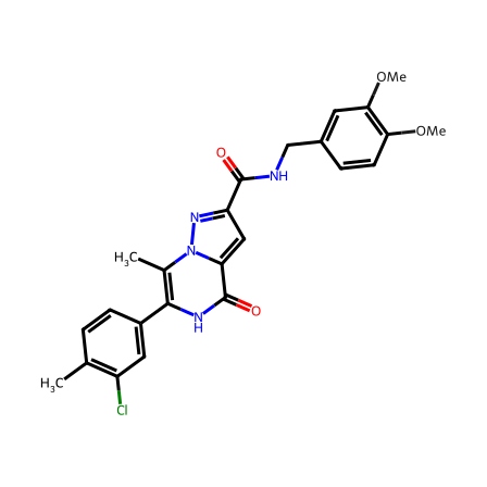 COc1ccc(CNC(=O)c2cc3c(=O)[nH]c(-c4ccc(C)c(Cl)c4)c(C)n3n2)cc1OC